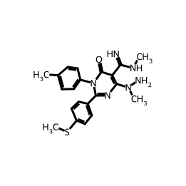 CNC(=N)c1c(N(C)N)nc(-c2ccc(SC)cc2)n(-c2ccc(C)cc2)c1=O